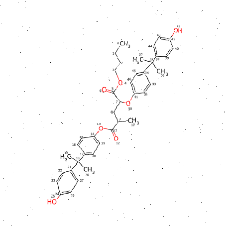 CCCCOC(=O)C(CC(C)C(=O)Oc1ccc(C(C)(C)c2ccc(O)cc2)cc1)Oc1ccc(C(C)(C)c2ccc(O)cc2)cc1